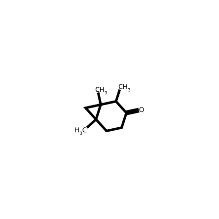 CC1C(=O)CCC2(C)CC12C